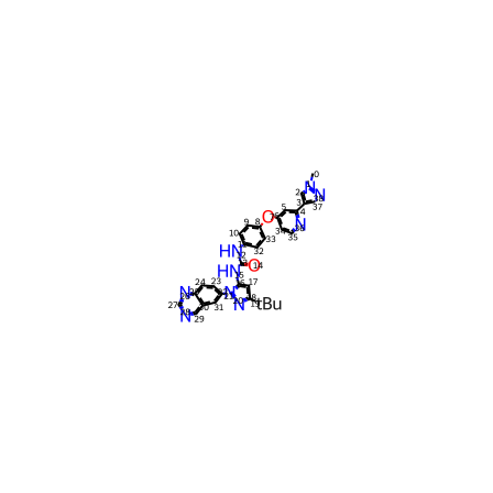 Cn1cc(-c2cc(Oc3ccc(NC(=O)Nc4cc(C(C)(C)C)nn4-c4ccc5ncncc5c4)cc3)ccn2)cn1